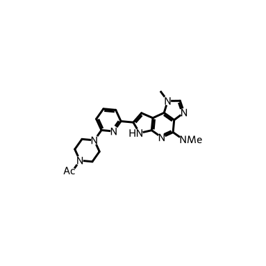 CNc1nc2[nH]c(-c3cccc(N4CCN(C(C)=O)CC4)n3)cc2c2c1ncn2C